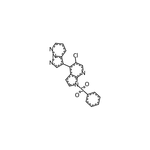 O=S(=O)(c1ccccc1)n1ccc2c(-c3cnn4ncccc34)c(Cl)cnc21